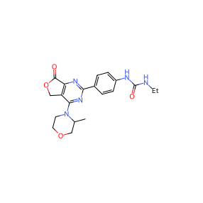 CCNC(=O)Nc1ccc(-c2nc3c(c(N4CCOCC4C)n2)COC3=O)cc1